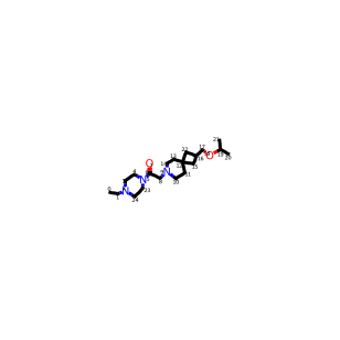 CCN1CCN(C(=O)CN2CCC3(CC2)CC(COC(C)C)C3)CC1